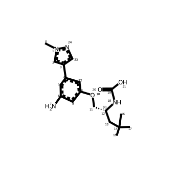 Cn1cc(-c2cc(N)cc(OC[C@@H](CC(C)(C)C)NC(=O)O)c2)cn1